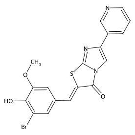 COc1cc(/C=c2\sc3nc(-c4cccnc4)cn3c2=O)cc(Br)c1O